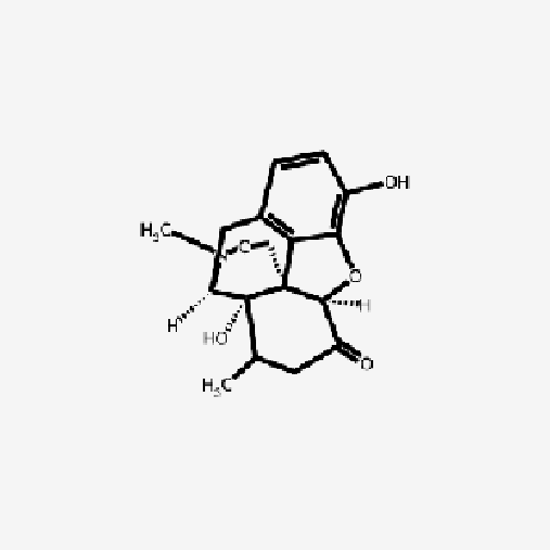 CC1CC(=O)[C@@H]2Oc3c(O)ccc4c3[C@@]23CCN(C)[C@H](C4)[C@]13O